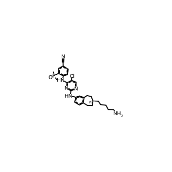 CP(C)(=O)c1cc(C#N)ccc1Nc1nc(Nc2ccc3c(c2)CC[C@@H](CCCCCN)CC3)ncc1Cl